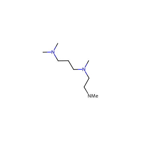 CNCCN(C)CCCN(C)C